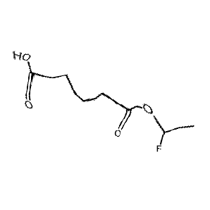 CC(F)OC(=O)CCCC(=O)O